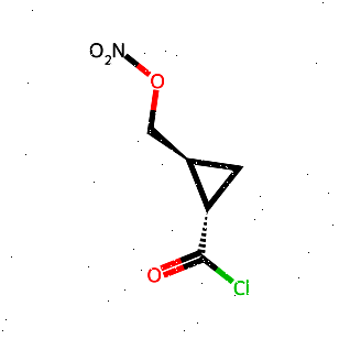 O=C(Cl)[C@H]1C[C@@H]1CO[N+](=O)[O-]